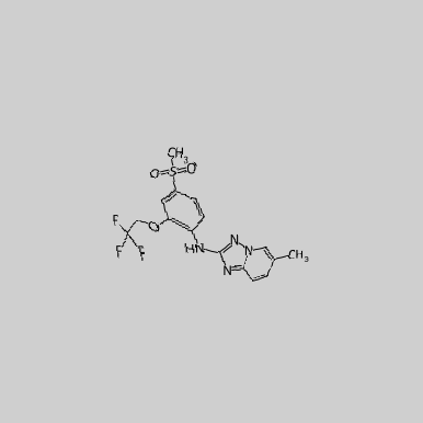 Cc1ccc2nc(Nc3ccc(S(C)(=O)=O)cc3OCC(F)(F)F)nn2c1